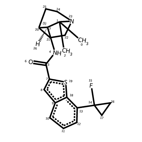 CC1(C)[C@@H](NC(=O)c2cc3cccc(C4(F)CC4)c3s2)C2CCN1CC2